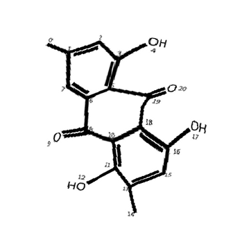 Cc1cc(O)c2c(c1)C(=O)c1c(O)c(C)cc(O)c1C2=O